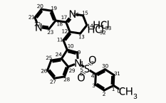 Cc1ccc(S(=O)(=O)n2cc(C=C3CCCN=C3c3cccnc3)c3ccccc32)cc1.Cl.Cl